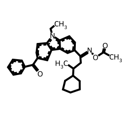 CCn1c2ccc(C(=O)c3ccccc3)cc2c2cc(/C(CC(C)C3CCCCC3)=N/OC(C)=O)ccc21